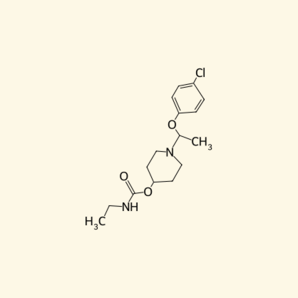 CCNC(=O)OC1CCN(C(C)Oc2ccc(Cl)cc2)CC1